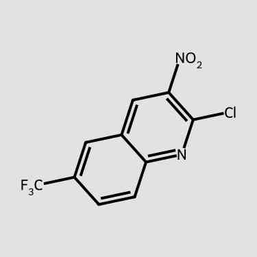 O=[N+]([O-])c1cc2cc(C(F)(F)F)ccc2nc1Cl